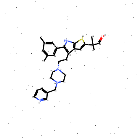 Cc1cc(C)cc(-c2[nH]c3sc(C(C)(C)C=O)cc3c2CCN2CCN(Cc3cccnc3)CC2)c1